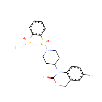 CS(=O)(=O)c1ccccc1S(=O)(=O)N1CCC(N2C(=O)OCc3cc(Br)ccc32)CC1